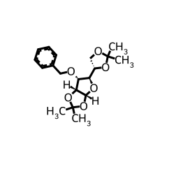 CC1(C)O[C@H]2O[C@H]([C@@H]3COC(C)(C)O3)[C@@H](OCc3ccccc3)[C@H]2O1